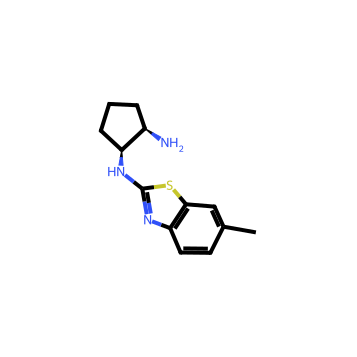 Cc1ccc2nc(N[C@H]3CCC[C@H]3N)sc2c1